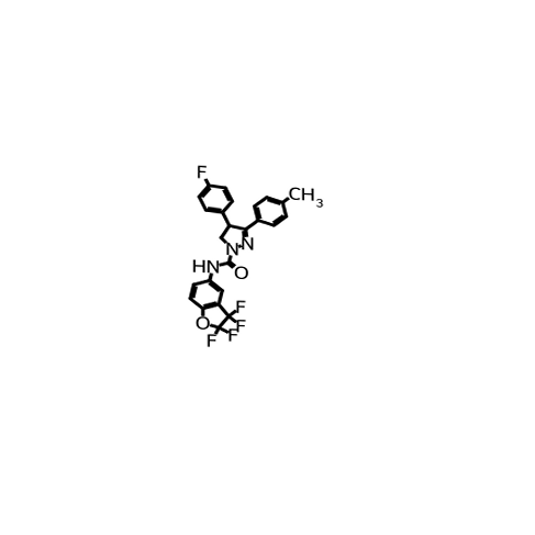 Cc1ccc(C2=NN(C(=O)Nc3ccc4c(c3)C(F)(F)C(F)(F)O4)CC2c2ccc(F)cc2)cc1